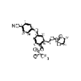 N#Cc1ccc(Oc2ccc(OS(=O)(=O)C(F)(F)F)c(COB3OCCO3)c2)cc1